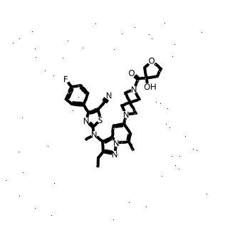 CCc1nn2c(C)cc(N3CC4(CN(C(=O)C5(O)CCOC5)C4)C3)cc2c1N(C)c1nc(-c2ccc(F)cc2)c(C#N)s1